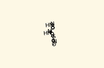 COc1ccc(-c2cc3c(s2)Cc2c(-c4ccc5cn[nH]c5c4)n[nH]c2-3)cn1